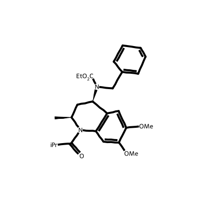 CCOC(=O)N(Cc1ccccc1)[C@@H]1C[C@H](C)N(C(=O)C(C)C)c2cc(OC)c(OC)cc21